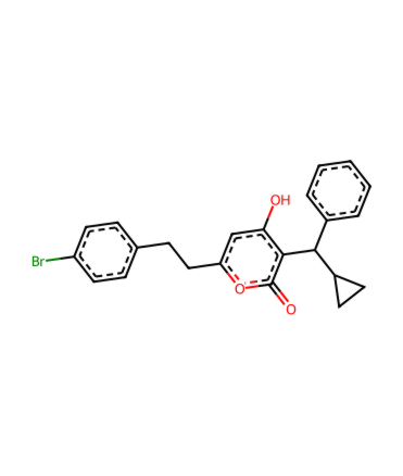 O=c1oc(CCc2ccc(Br)cc2)cc(O)c1C(c1ccccc1)C1CC1